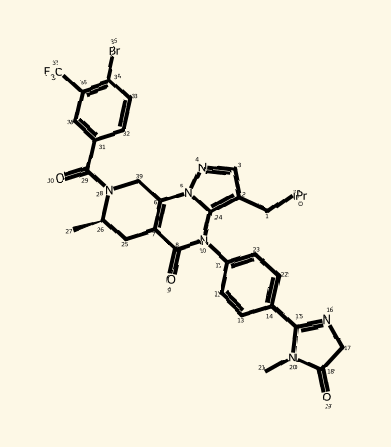 CC(C)Cc1cnn2c3c(c(=O)n(-c4ccc(C5=NCC(=O)N5C)cc4)c12)C[C@@H](C)N(C(=O)c1ccc(Br)c(C(F)(F)F)c1)C3